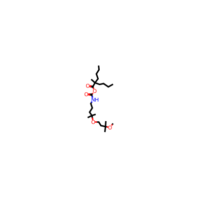 CCCCC(C)(CCCC)C(=O)OC(=O)NCCCC(C)(C)OCCC(C)(C)OC